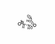 O=C(CNCCCNc1nsc2ccccc12)c1ccccc1OCC(O)CN1CCOCC1